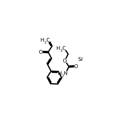 C=CC(=O)C=Cc1ccccc1.CCOC(N)=O.[Si]